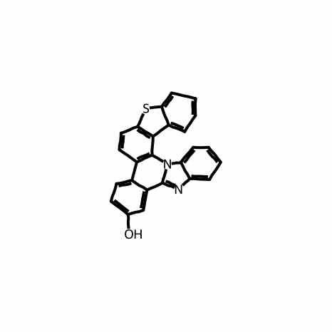 Oc1ccc2c(c1)c1nc3ccccc3n1c1c2ccc2sc3ccccc3c21